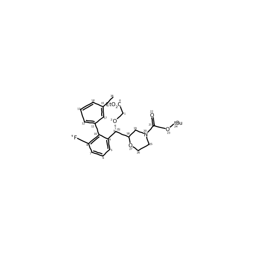 CCOC(=O)CO[C@@H](c1cccc(F)c1-c1cccc(C)c1)C1CN(C(=O)OC(C)(C)C)CCO1